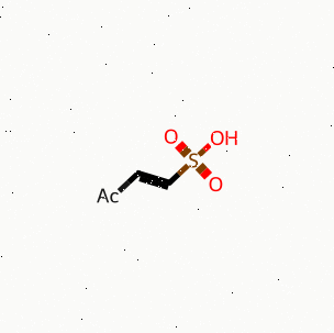 CC(=O)/C=C/S(=O)(=O)O